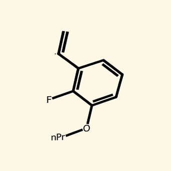 C=[C]c1cccc(OCCC)c1F